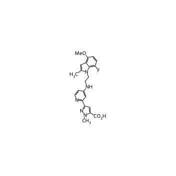 COc1ccc(F)c2c1cc(C)n2CCNc1ccnc(-c2cc(C(=O)O)n(C)n2)c1